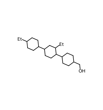 CCC1CCC(C2CCC(C3CCC(CO)CC3)C(CC)C2)CC1